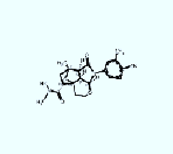 CN(C)C(=O)[C@@H]1C[C@@]2(C)O[C@@]13CCO[C@H]1[C@@H]3[C@@H]2C(=O)N1c1ccc(C#N)c(C(F)(F)F)c1